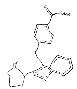 COC(=O)c1ccc(Cn2c(C3CCCN3)nc3ccccc32)cc1